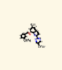 COc1cnc(-c2ccc3cc(C)cc(OCc4cccc(OC)c4)c3n2)nc1